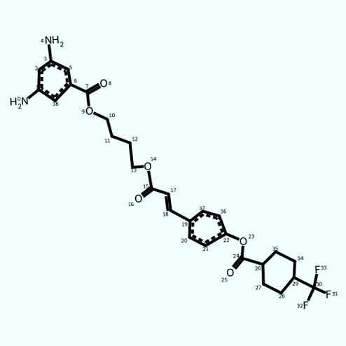 Nc1cc(N)cc(C(=O)OCCCCOC(=O)C=Cc2ccc(OC(=O)C3CCC(C(F)(F)F)CC3)cc2)c1